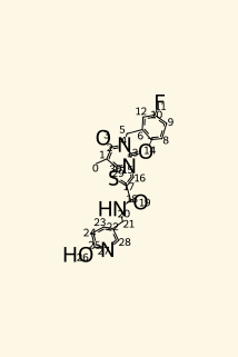 Cc1c(=O)n(Cc2cccc(F)c2)c(=O)n2cc(C(=O)NCc3ccc(O)nc3)sc12